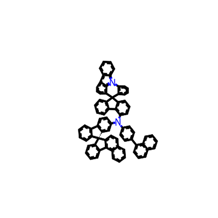 c1ccc2c(c1)-c1c(N(c3ccc(-c4cccc5ccccc45)cc3)c3ccc4c(c3)[C@@]3(c5ccccc5-4)c4ccccc4-c4c3ccc3ccccc43)cccc1C21c2ccccc2-n2c3ccccc3c3cccc1c32